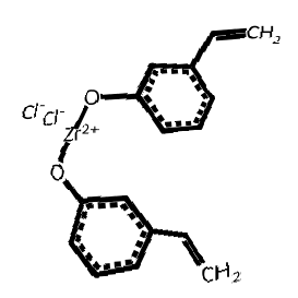 C=Cc1cccc([O][Zr+2][O]c2cccc(C=C)c2)c1.[Cl-].[Cl-]